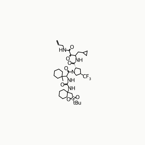 C=CCNC(=O)C(=O)C(CC1CC1)NC(=O)[C@@H]1C[C@@H](C(F)(F)F)CN1C(=O)[C@@H](NC(=O)NC1(CS(=O)(=O)C(C)(C)C)CCCCC1)C1(C)CCCCC1